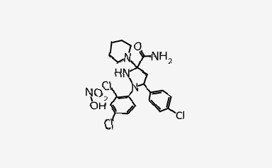 NC(=O)C1(N2CCCCC2)CC(c2ccc(Cl)cc2)N(c2ccc(Cl)cc2Cl)N1.O=[N+]([O-])O